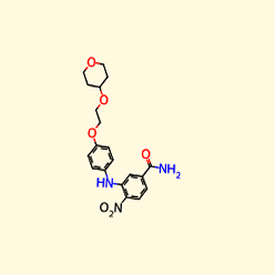 NC(=O)c1ccc([N+](=O)[O-])c(Nc2ccc(OCCOC3CCOCC3)cc2)c1